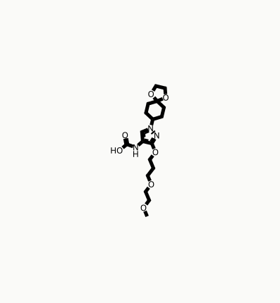 COCCOCCCOc1nn(C2CCC3(CC2)OCCO3)cc1NC(=O)O